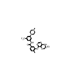 CC[C@@H]1COc2c(ncnc2Oc2cc(C(=O)Nc3cc(N4CCN(C)CC4)cc(C(F)(F)F)c3)ccc2C)N1